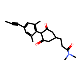 CC#Cc1cc(C)c(C2C(=O)CC(CCC(=O)N(C)C)CC2=O)c(C)c1